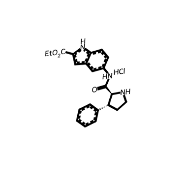 CCOC(=O)c1cc2cc(NC(=O)[C@H]3NCC[C@@H]3c3ccccc3)ccc2[nH]1.Cl